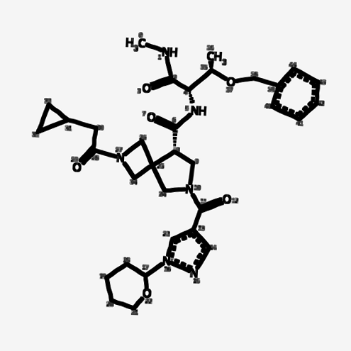 CNC(=O)[C@@H](NC(=O)[C@@H]1CN(C(=O)c2cnn(C3CCCCO3)c2)CC12CN(C(=O)CC1CC1)C2)[C@@H](C)OCc1ccccc1